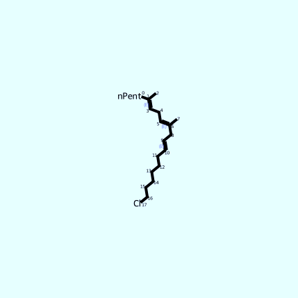 CCCCC/C(C)=C/C/C=C(\C)C/C=C/CCCCCCCl